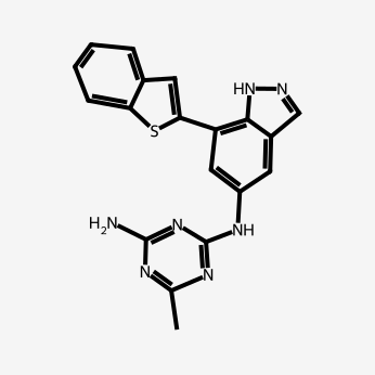 Cc1nc(N)nc(Nc2cc(-c3cc4ccccc4s3)c3[nH]ncc3c2)n1